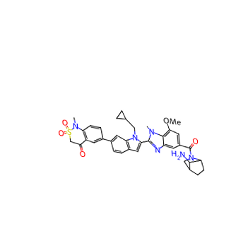 COc1cc(C(=O)N2CC3CCC2C3N)cc2nc(-c3cc4ccc(-c5ccc6c(c5)C(=O)CS(=O)(=O)N6C)cc4n3CC3CC3)n(C)c12